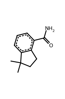 CC1(C)CCc2c(C(N)=O)cccc21